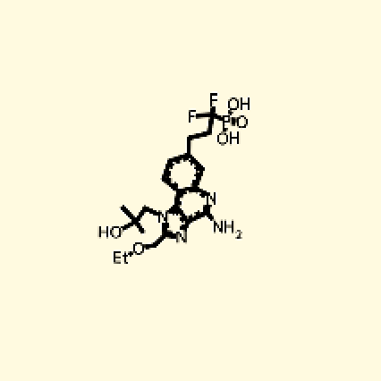 CCOCc1nc2c(N)nc3cc(CCC(F)(F)P(=O)(O)O)ccc3c2n1CC(C)(C)O